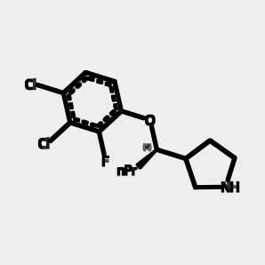 CCC[C@@H](Oc1ccc(Cl)c(Cl)c1F)C1CCNC1